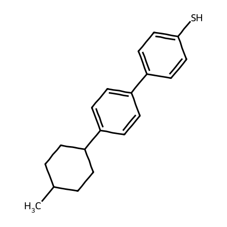 CC1CCC(c2ccc(-c3ccc(S)cc3)cc2)CC1